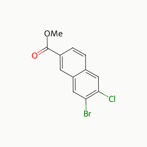 COC(=O)c1ccc2cc(Cl)c(Br)cc2c1